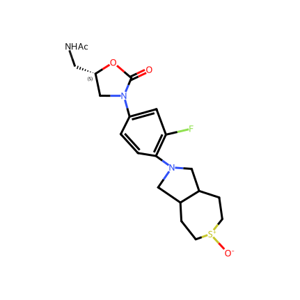 CC(=O)NC[C@H]1CN(c2ccc(N3CC4CC[S+]([O-])CCC4C3)c(F)c2)C(=O)O1